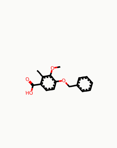 COc1c(OCc2ccccc2)ccc(C(=O)O)c1C